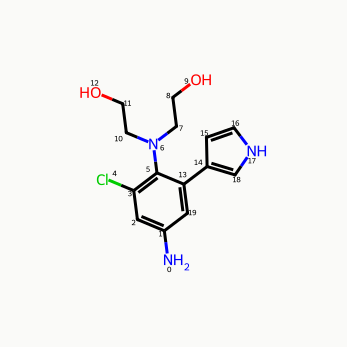 Nc1cc(Cl)c(N(CCO)CCO)c(-c2cc[nH]c2)c1